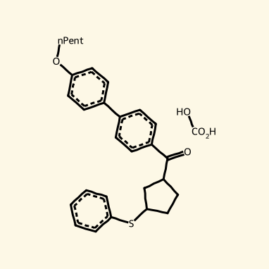 CCCCCOc1ccc(-c2ccc(C(=O)C3CCC(Sc4ccccc4)C3)cc2)cc1.O=C(O)O